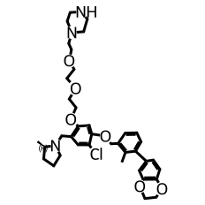 Cc1c(COc2cc(OCCOCCOCCN3CCNCC3)c(CN3CCC[C@H]3C)cc2Cl)cccc1-c1ccc2c(c1)OCCO2